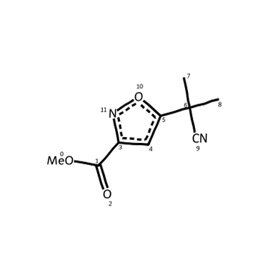 COC(=O)c1cc(C(C)(C)C#N)on1